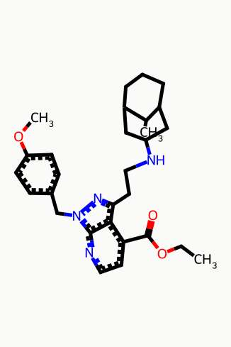 CCOC(=O)c1ccnc2c1c(CCNC1CC3CCCC(C1)C3C)nn2Cc1ccc(OC)cc1